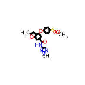 COOSc1ccc(Oc2cc(C(=O)Nc3cnn(C)n3)cc3oc(C)cc23)cc1